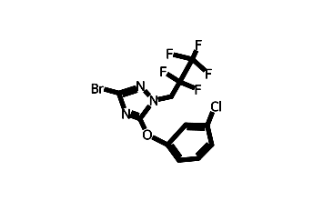 FC(F)(F)C(F)(F)Cn1nc(Br)nc1Oc1cccc(Cl)c1